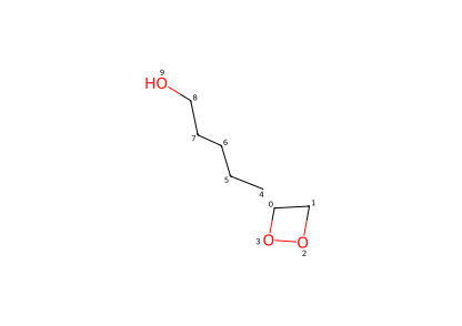 C1COO1.CCCCCO